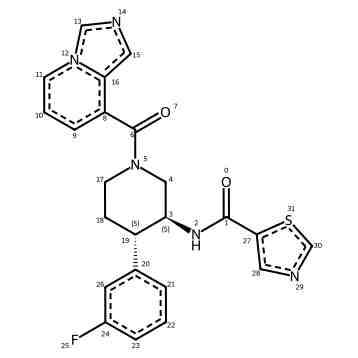 O=C(N[C@@H]1CN(C(=O)c2cccn3cncc23)CC[C@H]1c1cccc(F)c1)c1cncs1